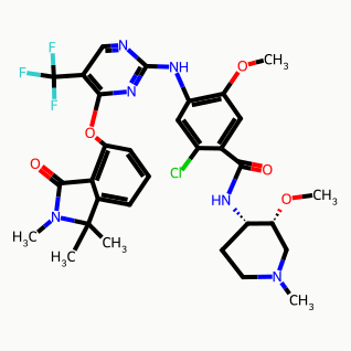 COc1cc(C(=O)N[C@H]2CCN(C)C[C@H]2OC)c(Cl)cc1Nc1ncc(C(F)(F)F)c(Oc2cccc3c2C(=O)N(C)C3(C)C)n1